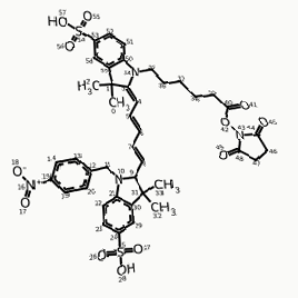 CC1(C)\C(=C/C=C/C=C/C2N(Cc3ccc([N+](=O)[O-])cc3)c3ccc(S(=O)(=O)O)cc3C2(C)C)N(CCCCCC(=O)ON2C(=O)CCC2=O)c2ccc(S(=O)(=O)O)cc21